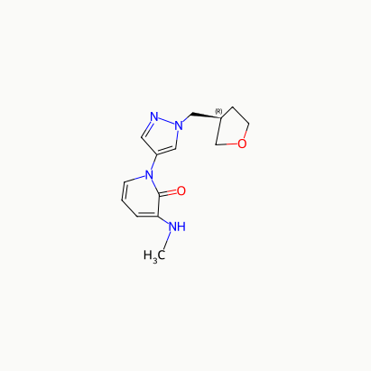 CNc1cccn(-c2cnn(C[C@H]3CCOC3)c2)c1=O